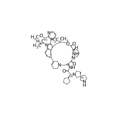 CCn1c(-c2cccnc2[C@H](C)OC)c2c3cc(ccc31)C1=CCCN(C1)C[C@H](NC(=O)[C@H](C1CCCC1)N1CC[C@]3(CCNC3)C1)C(=O)N1CCC[C@H](N1)C(=O)OCC(C)(C)C2